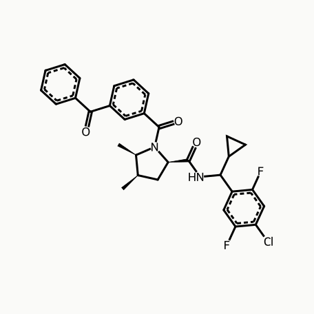 C[C@@H]1C[C@H](C(=O)NC(c2cc(F)c(Cl)cc2F)C2CC2)N(C(=O)c2cccc(C(=O)c3ccccc3)c2)[C@@H]1C